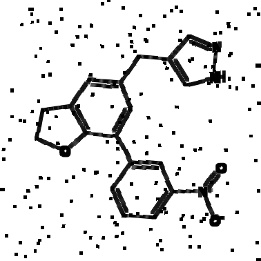 O=[N+]([O-])c1cccc(-c2cc(Cc3cn[nH]c3)cc3c2OCC3)c1